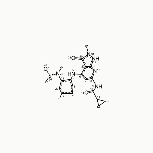 Cc1ccc(Nc2cc(NC(=O)C3CC3)nc3[nH]n(C)c(=O)c23)c(N(C)[S+](C)[O-])c1